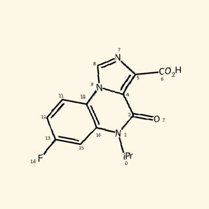 CC(C)n1c(=O)c2c(C(=O)O)ncn2c2ccc(F)cc21